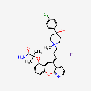 CC(C)(OC1C=CC=C2Oc3ncccc3C(=CCC[N+]3(C)CCC(O)(c4ccc(Cl)cc4)CC3)C=C21)C(N)=O.[I-]